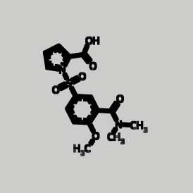 COc1ccc(S(=O)(=O)n2cccc2C(=O)O)cc1C(=O)N(C)C